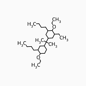 CCCCC1CC(C(C)(C)C2CC(CC)C(OCC)C(CCCC)C2)CCC1OCC